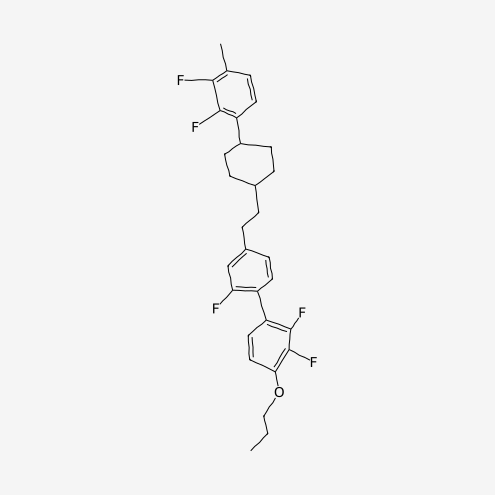 CCCOc1ccc(-c2ccc(CCC3CCC(c4ccc(C)c(F)c4F)CC3)cc2F)c(F)c1F